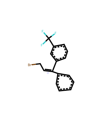 FC(F)(F)c1cccc(/C(=C\CBr)c2ccccc2)c1